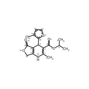 CC1=C(C(=O)OC(C)C)C(c2sccc2Cl)C2=C(COC2=O)N1